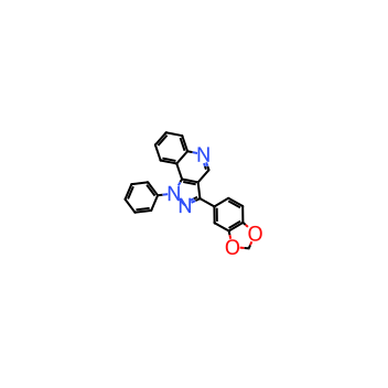 c1ccc(-n2nc(-c3ccc4c(c3)OCO4)c3cnc4ccccc4c32)cc1